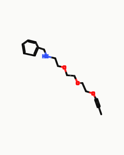 CC#COCCOCCOCCNCc1ccccc1